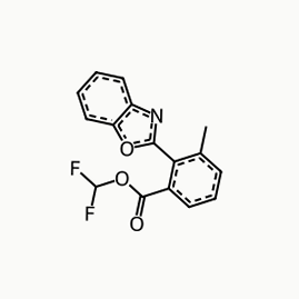 Cc1cccc(C(=O)OC(F)F)c1-c1nc2ccccc2o1